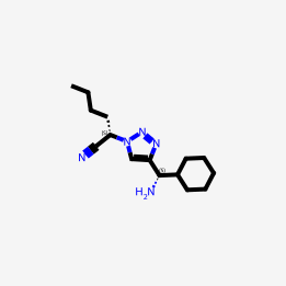 CCCC[C@@H](C#N)n1cc([C@@H](N)C2CCCCC2)nn1